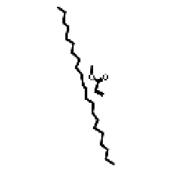 C=CC(=O)OC.CCCCCCCCCCCCCCCCCCCCCC